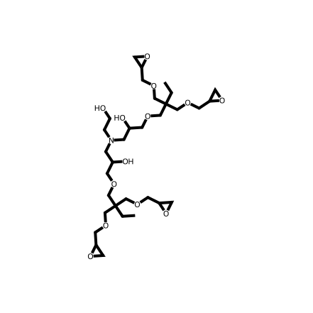 CCC(COCC(O)CN(CCO)CC(O)COCC(CC)(COCC1CO1)COCC1CO1)(COCC1CO1)COCC1CO1